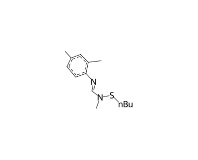 CCCCSN(C)C=Nc1ccc(C)cc1C